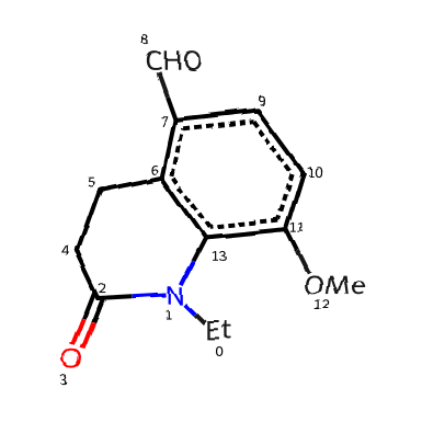 CCN1C(=O)CCc2c(C=O)ccc(OC)c21